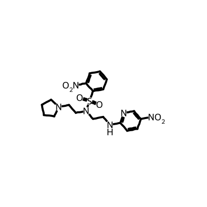 O=[N+]([O-])c1ccc(NCCN(CCN2CCCC2)S(=O)(=O)c2ccccc2[N+](=O)[O-])nc1